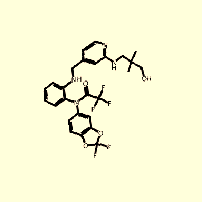 CC(C)(CO)CNc1cc(CNc2ccccc2N(C(=O)C(F)(F)F)c2ccc3c(c2)OC(F)(F)O3)ccn1